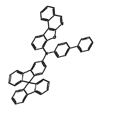 c1ccc(-c2ccc(N(c3ccc4c(c3)-c3ccccc3C43c4ccccc4-c4ccccc43)c3cccc4c3oc3ncc5ccccc5c34)cc2)cc1